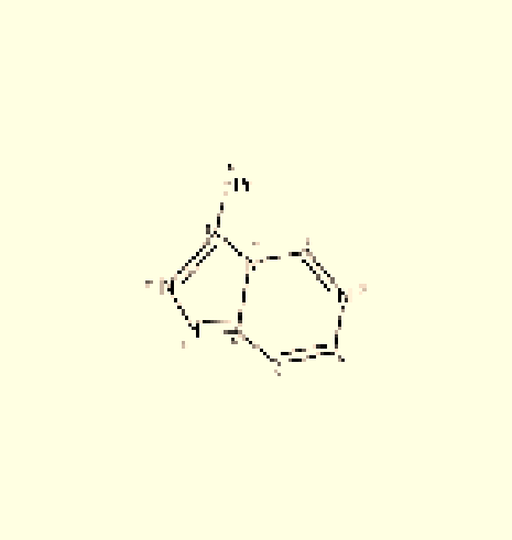 CCCc1nnc2ccncn12